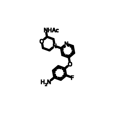 CC(=O)NC1CN(c2cc(Oc3ccc(N)cc3F)ccn2)CCO1